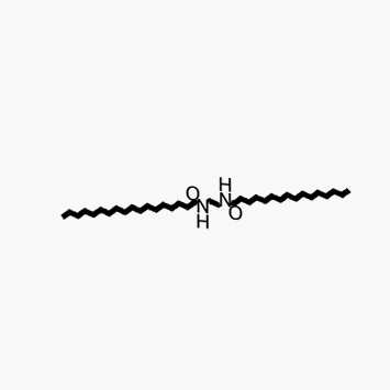 CCCCCCCCCCCCCCCCCC(=O)NCCNC(=O)CCCCCCCCCCCCCCC